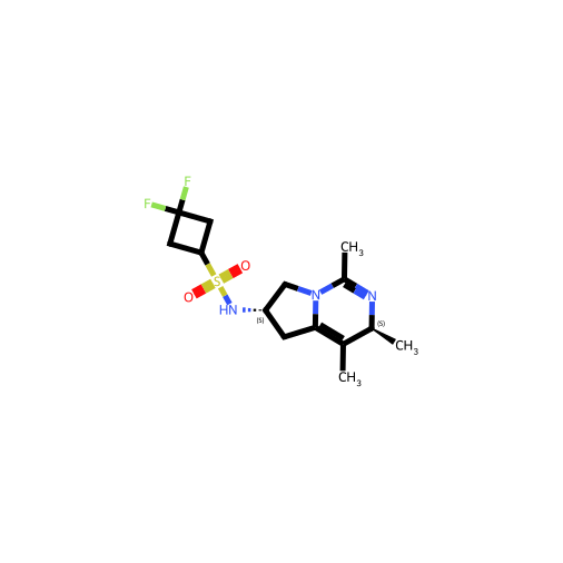 CC1=N[C@@H](C)C(C)=C2C[C@H](NS(=O)(=O)C3CC(F)(F)C3)CN12